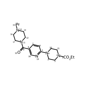 CCOC(=O)N1CCN(c2ccc(C(=O)N3CCN(C(C)C)CC3)cn2)CC1